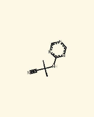 CC(C)(C#N)Nc1ncncn1